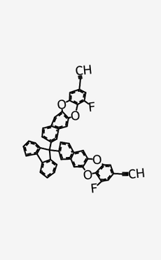 C#Cc1cc(F)c2c(c1)Oc1cc3ccc(C4(c5ccc6cc7c(cc6c5)Oc5c(F)cc(C#C)cc5O7)c5ccccc5-c5ccccc54)cc3cc1O2